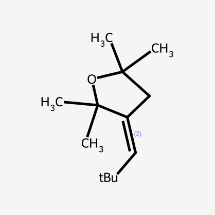 CC(C)(C)/C=C1/CC(C)(C)OC1(C)C